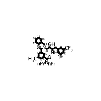 CCCN(CCC)C(=O)c1cc(C)cc(C(=O)N(Cc2ccccc2)C[C@@H](O)[C@@H](N)Cc2cc(F)cc(C(F)(F)F)c2)c1